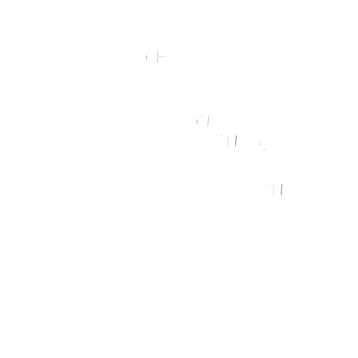 CC(C)c1ccccc1.CC(C)c1ccccc1.[Cr]